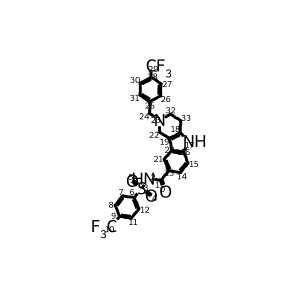 O=C(NS(=O)(=O)c1ccc(C(F)(F)F)cc1)c1ccc2[nH]c3c(c2c1)CN(Cc1ccc(C(F)(F)F)cc1)CC3